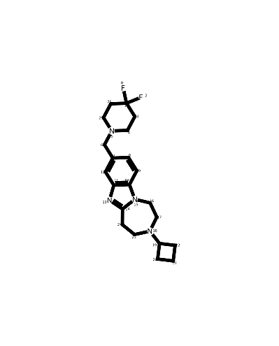 FC1(F)CCN(Cc2ccc3c(c2)nc2n3CCN(C3CCC3)CC2)CC1